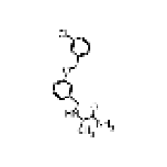 CC(NCc1cccc(OCc2cccc(Cl)c2)c1)C(N)=O